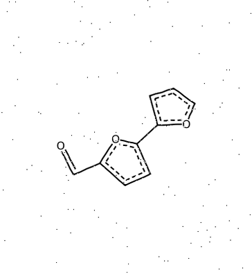 O=Cc1ccc(-c2ccco2)o1